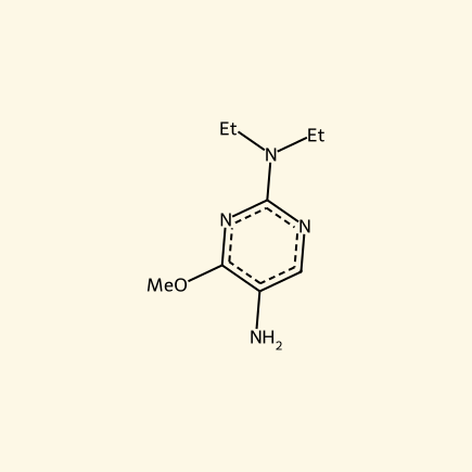 CCN(CC)c1ncc(N)c(OC)n1